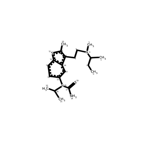 CCC(C)N(C)CCc1c(C)sc2ccc(N(C(N)=S)C(C)C)cc12